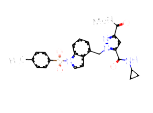 CNC(=O)c1cc(C(=O)NC2CC2)n(Cc2cccc3c2ccn3S(=O)(=O)c2ccc(C)cc2)n1